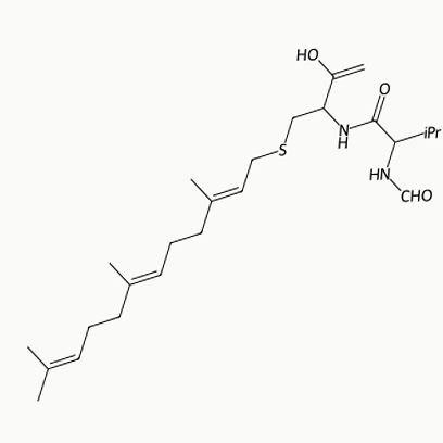 C=C(O)C(CSC/C=C(\C)CC/C=C(\C)CCC=C(C)C)NC(=O)C(NC=O)C(C)C